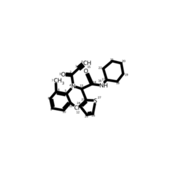 C#CC(=O)N(c1c(C)cccc1C)C(C(=O)NC1CCCCC1)c1cccs1